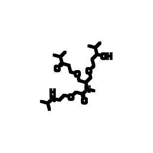 CC(C)NCCOCC(=O)N(C)C(COCCC(=O)C(C)C)COCCC(O)C(C)C